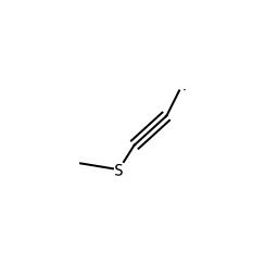 [CH2]C#CSC